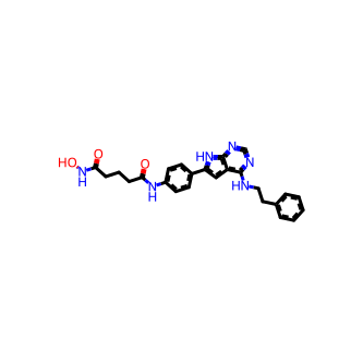 O=C(CCCC(=O)Nc1ccc(-c2cc3c(NCCc4ccccc4)ncnc3[nH]2)cc1)NO